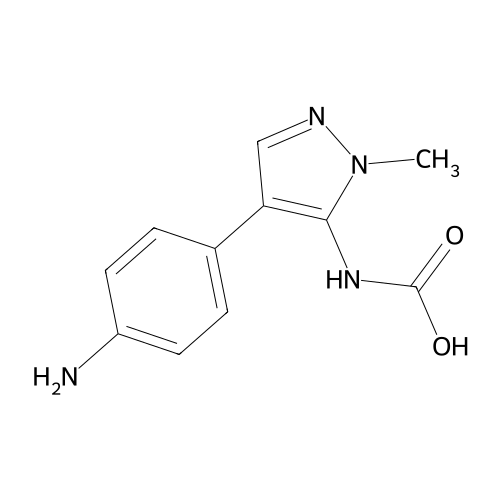 Cn1ncc(-c2ccc(N)cc2)c1NC(=O)O